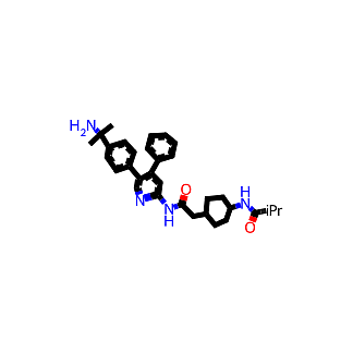 CC(C)C(=O)NC1CCC(CC(=O)Nc2cc(-c3ccccc3)c(-c3ccc(C(C)(C)N)cc3)cn2)CC1